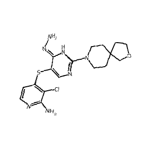 N/N=c1\[nH]c(N2CCC3(CCOC3)CC2)ncc1Sc1ccnc(N)c1Cl